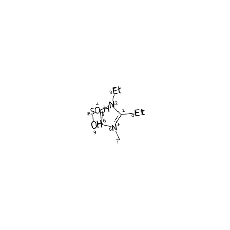 CCc1n(CC)cc[n+]1C.O=S(=O)(O)O